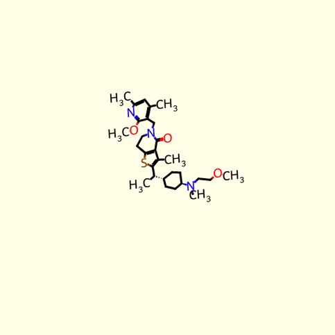 COCCN(C)[C@H]1CC[C@H](C(C)c2sc3c(c2C)C(=O)N(Cc2c(C)cc(C)nc2OC)CC3)CC1